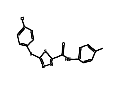 Cc1ccc(NC(=O)c2nnc(Sc3ccc(Cl)cc3)s2)cc1